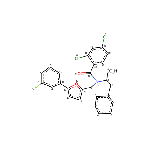 O=C(O)C(Cc1ccccc1)N(Cc1ccc(-c2cccc(F)c2)o1)C(=O)c1ccc(Cl)cc1Cl